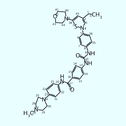 CCC1=CN(c2ccc(NC(=O)Nc3ccc(C(=O)Nc4ccc(N5CCN(C)CC5)cc4)cc3)cc2)SC(N2CCOCC2)=C1